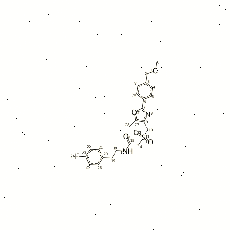 COCc1ccc(-c2nc(CS(=O)(=O)CC(=O)NCCc3ccc(F)cc3)c(C)o2)cc1